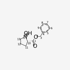 O=C(OCc1ccccc1)[C@@H]1CCCN1O